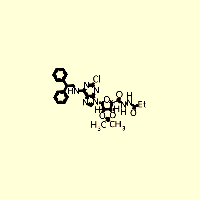 CCC(=O)NNC(=O)[C@H]1O[C@@H](n2cnc3c(NCC(c4ccccc4)c4ccccc4)nc(Cl)nc32)[C@@H]2OC(C)(C)O[C@@H]21